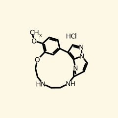 COc1ccc2cc1OCCNCCNc1ccn3ncc-2c3n1.Cl